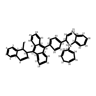 CC1c2ccccc2C=CC1c1c2ccccc2c(-c2ccc(C3C=Nc4ccccc4N3C3=CC=CCC=C3)cc2)c2ccccc12